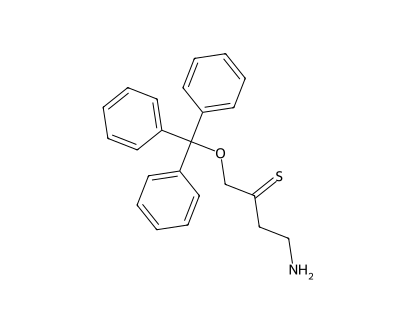 NCCC(=S)COC(c1ccccc1)(c1ccccc1)c1ccccc1